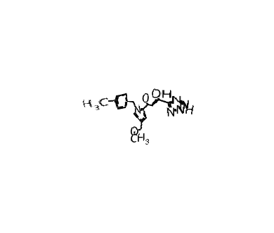 COCc1cc(C(=O)C=C(O)c2nn[nH]n2)n(Cc2ccc(C)cc2)c1